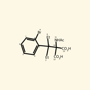 CCC(CC)(c1ccccc1Br)C(NC(C)=O)(C(=O)O)C(=O)O